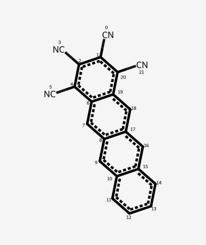 N#Cc1c(C#N)c(C#N)c2cc3cc4ccccc4cc3cc2c1C#N